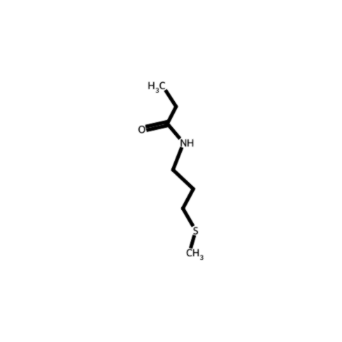 CCC(=O)NCCCSC